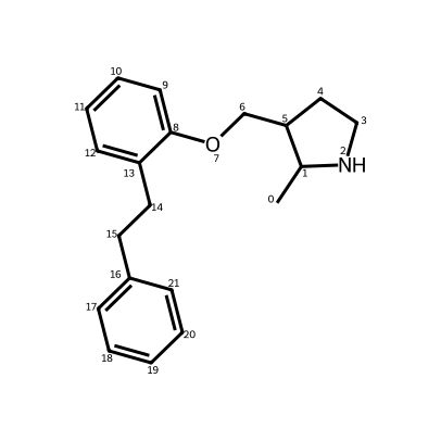 CC1NCCC1COc1ccccc1CCc1ccccc1